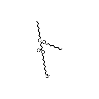 CCCCCCCCOC(CCC(=O)OCCCCCCCCCBr)OCCCCCCCC